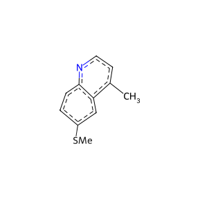 CSc1ccc2nccc(C)c2c1